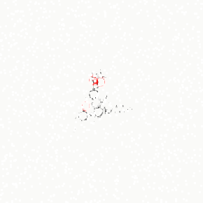 C=CCc1ccc(OCc2ccc(B3OC(C)(C)C(C)(C)O3)cc2)c(-c2ccc(OC)c(CC=C)c2)c1